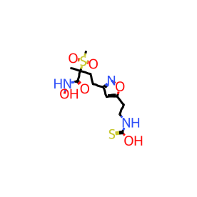 CC(CCc1cc(CCNC(O)=S)on1)(C(=O)NO)S(C)(=O)=O